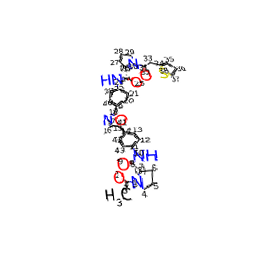 CC(=O)N1CCC[C@H]1C(=O)Nc1ccc(-c2cnc(-c3ccc(NC(=O)[C@@H]4C=CCN4C(=O)Cc4cccs4)cc3)o2)cc1